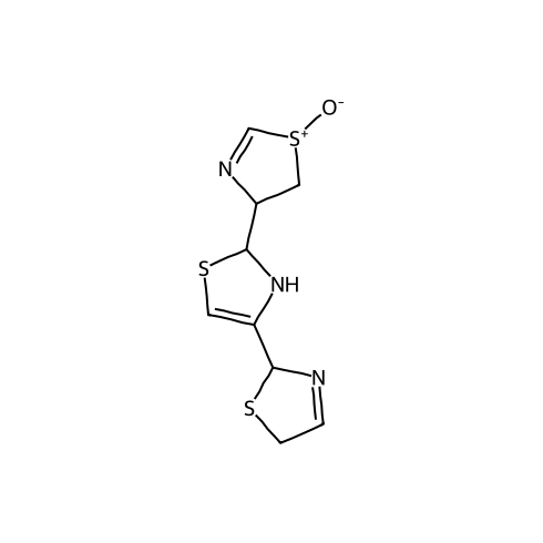 [O-][S+]1C=NC(C2NC(C3N=CCS3)=CS2)C1